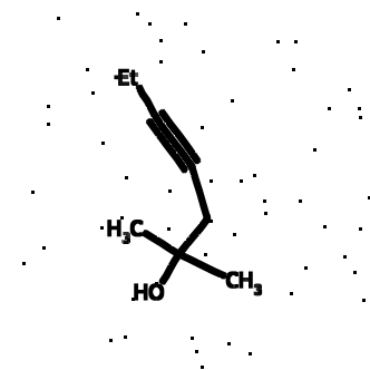 C[CH]C#CCC(C)(C)O